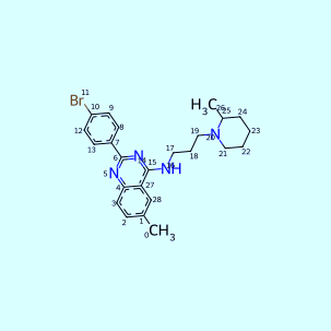 Cc1ccc2nc(-c3ccc(Br)cc3)nc(NCCCN3CCCCC3C)c2c1